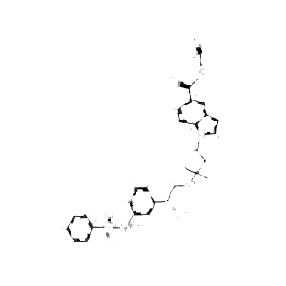 CC(C)(CCn1ccc2cc(C(=O)NC#N)ccc21)NC[C@H](O)c1cccc(NS(=O)(=O)c2ccccc2)c1